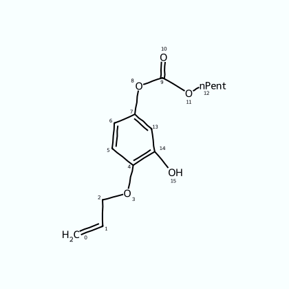 C=CCOc1ccc(OC(=O)OCCCCC)cc1O